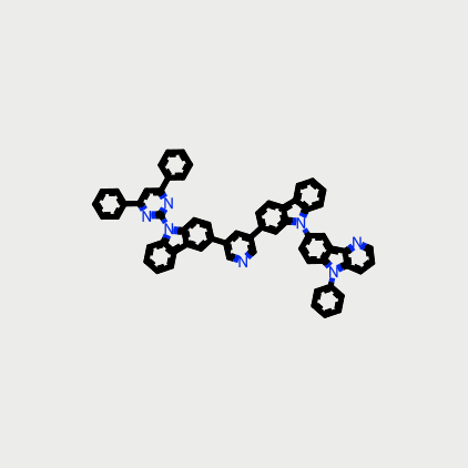 c1ccc(-c2cc(-c3ccccc3)nc(-n3c4ccccc4c4cc(-c5cncc(-c6ccc7c8ccccc8n(-c8ccc9c(c8)c8ncccc8n9-c8ccccc8)c7c6)c5)ccc43)n2)cc1